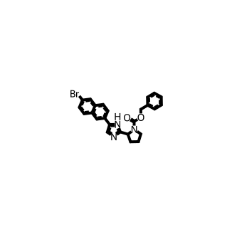 O=C(OCc1ccccc1)N1CCCC1c1ncc(-c2ccc3cc(Br)ccc3c2)[nH]1